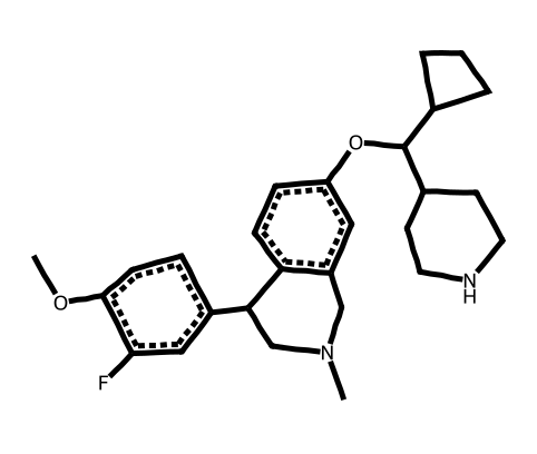 COc1ccc(C2CN(C)Cc3cc(OC(C4CCC4)C4CCNCC4)ccc32)cc1F